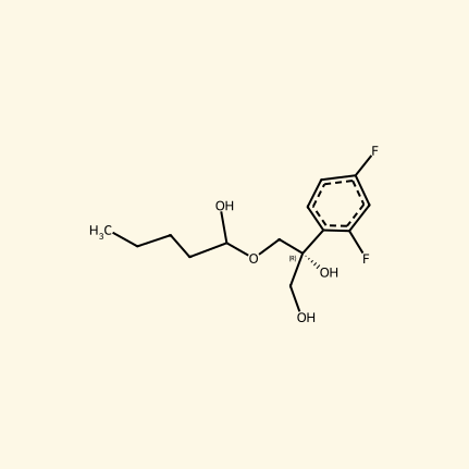 CCCCC(O)OC[C@](O)(CO)c1ccc(F)cc1F